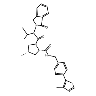 Cc1ncsc1-c1ccc(CNC(=O)[C@@H]2C[C@H](C)CN2C(=O)C(C(C)C)N2Cc3ccccc3C2=O)cc1